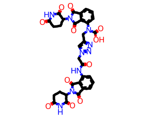 O=C1CCC(N2C(=O)c3cccc(NC(=O)Cn4cc(CN(C(=O)O)c5cccc6c5C(=O)N(C5CCC(=O)NC5=O)C6=O)nn4)c3C2=O)C(=O)N1